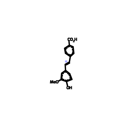 COc1cc(/C=C/c2ccc(C(=O)O)cc2)ccc1O